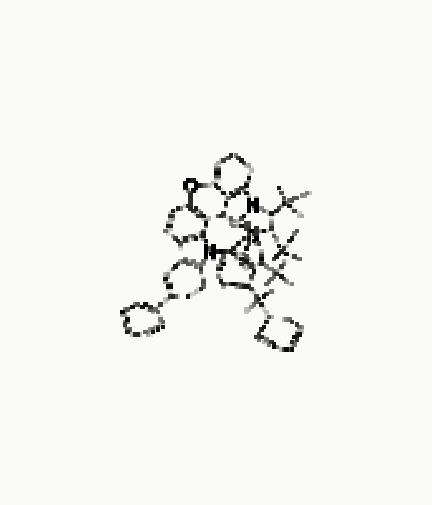 CC[C@@]12C3=C(CCC=C3Oc3ccc4c5c(n(C6=CC(C(C)(C)C)CC6)c4c31)CCC(c1ccccc1)=C5)N1C(C(C)(C)C)C(C(C)(C)C)N(c3cccc(C(C)(C)C4C=CC=CC4)c3)C12